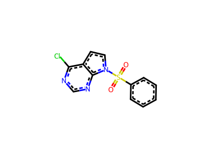 O=S(=O)(c1ccccc1)n1ccc2c(Cl)ncnc21